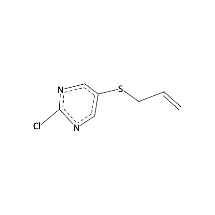 C=CCSc1cnc(Cl)nc1